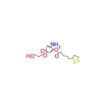 Nc1cc2c(cc1OC(=O)CCCCC1CCSS1)OC(CCO)O2